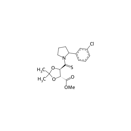 COC(=O)[C@@H]1OC(C)(C)O[C@H]1C(=S)N1CCCC1c1cccc(Cl)c1